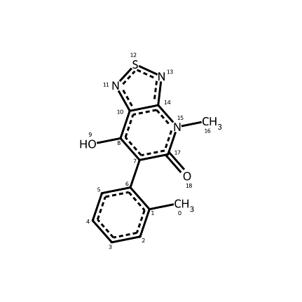 Cc1ccccc1-c1c(O)c2nsnc2n(C)c1=O